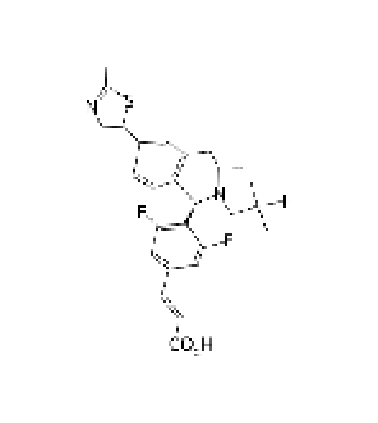 Cc1ncc(-c2ccc3c(c2)C[C@H](C)N(CC(C)(C)F)[C@H]3c2c(F)cc(/C=C/C(=O)O)cc2F)s1